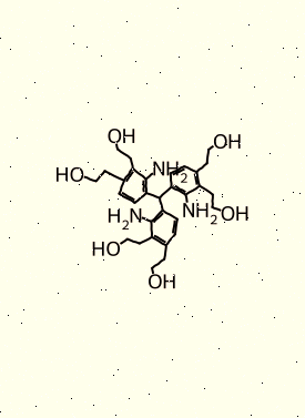 Nc1c(C(c2ccc(CCO)c(CCO)c2N)c2ccc(CCO)c(CCO)c2N)ccc(CCO)c1CCO